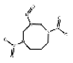 O=NN1CN([N+](=O)[O-])CCCN([N+](=O)[O-])C1